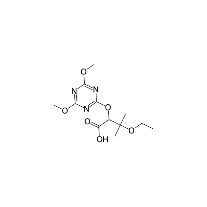 CCOC(C)(C)C(Oc1nc(OC)nc(OC)n1)C(=O)O